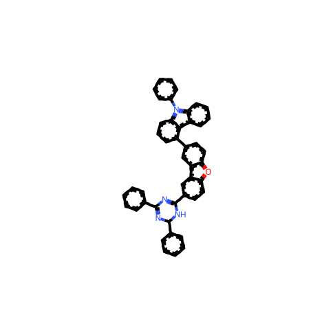 c1ccc(C2=NC(c3ccccc3)NC(c3ccc4oc5ccc(-c6cccc7c6c6ccccc6n7-c6ccccc6)cc5c4c3)=N2)cc1